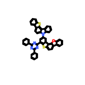 c1ccc(-c2nc(-c3ccccc3)nc(-c3cc(-n4c5ccccc5c5c6sc7ccccc7c6ccc54)cc4c3sc3ccc5c6ccccc6oc5c34)n2)cc1